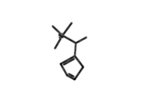 CC(C1=CC=CC1)[Si](C)(C)C